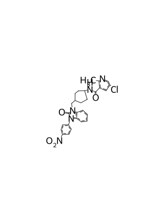 Cc1ncc(Cl)cc1C(=O)NC1CCC(Cn2c(=O)n(-c3ccc([N+](=O)[O-])cc3)c3ccccc32)CC1